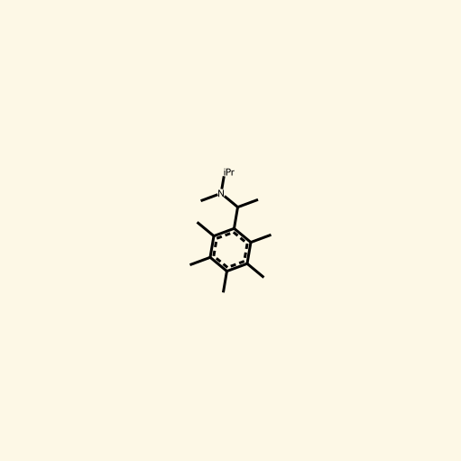 Cc1c(C)c(C)c(C(C)N(C)C(C)C)c(C)c1C